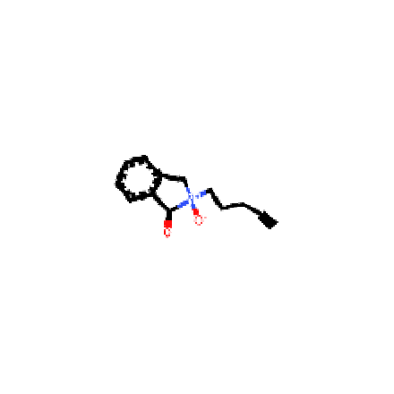 C#CCCC[N+]1([O-])Cc2ccccc2C1=O